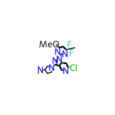 COc1cc(C(C)(F)F)nc(-n2nc(N3CCC(N(C)C)C3)c3cnc(Cl)cc32)n1